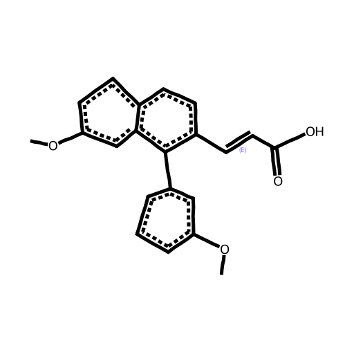 COc1cccc(-c2c(/C=C/C(=O)O)ccc3ccc(OC)cc23)c1